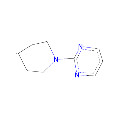 [CH]1CCN(c2ncccn2)CC1